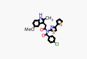 COc1ccc2[nH]c(C)c(CC(=O)N(C(=O)c3ccc(Cl)cc3)c3nc(-c4cccs4)cs3)c2c1